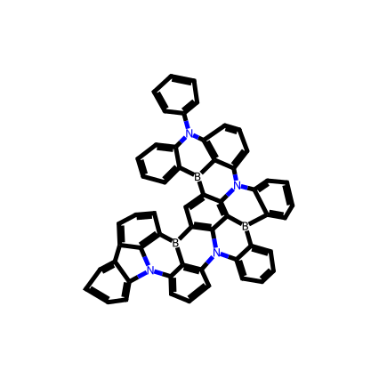 c1ccc(N2c3ccccc3B3c4cc5c6c7c4N(c4ccccc4B7c4ccccc4N6c4cccc6c4B5c4cccc5c7ccccc7n-6c45)c4cccc2c43)cc1